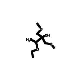 CCOC(N)C(O)(COC)COC